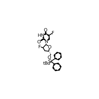 CC(C)(C)[Si](OC[C@@H]1CC(F)[C@H](n2cc(F)c(=O)[nH]c2=O)O1)(c1ccccc1)c1ccccc1